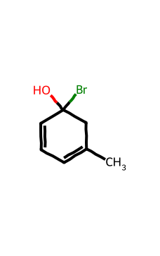 CC1=CC=CC(O)(Br)C1